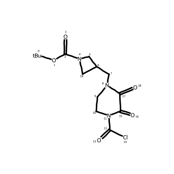 CC(C)(C)OC(=O)N1CC(CN2CCN(C(=O)Cl)C(=O)C2=O)C1